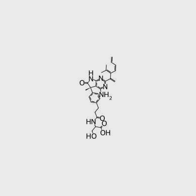 C=C/C=C\C(C(=C)c1nc(N)c2c(n1)NC(=O)[C@@]2(C)c1ccc(CCC(=O)NC(CO)C(=O)O)cc1)=C(C)C